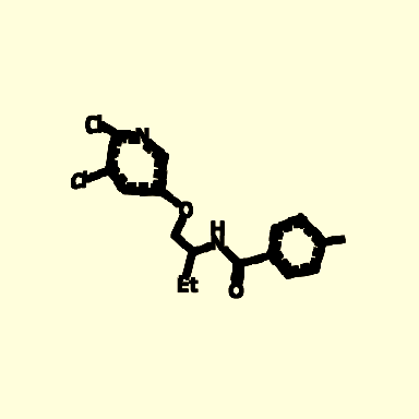 [CH2]CC(COc1cnc(Cl)c(Cl)c1)NC(=O)c1ccc(C)cc1